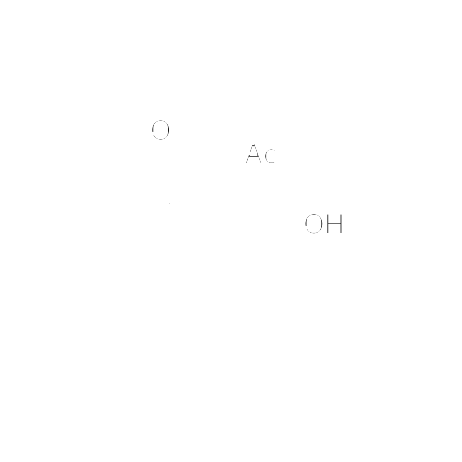 CC(=O)C1(O)C=CCCC1=O